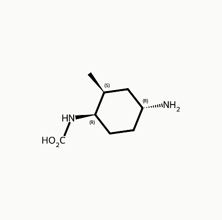 C[C@H]1C[C@H](N)CC[C@H]1NC(=O)O